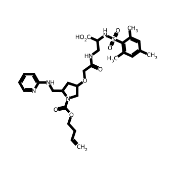 C=CCCOC(=O)N1CC(OCC(=O)NCC(NS(=O)(=O)c2c(C)cc(C)cc2C)C(=O)O)CC1CNc1ccccn1